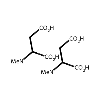 CNC(CC(=O)O)C(=O)O.CNC(CC(=O)O)C(=O)O